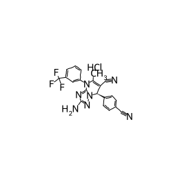 CC1=C(C#N)[C@@H](c2ccc(C#N)cc2)n2nc(N)nc2N1c1cccc(C(F)(F)F)c1.Cl